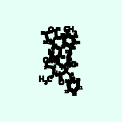 COCCN(C)C(=O)[C@H](Cc1ccccc1)N(Cc1ccc(N2CCOCC2)nc1)C(=O)/C=C/c1ccc(C)cc1